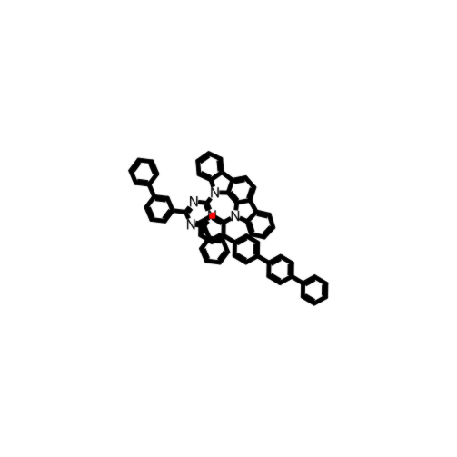 c1ccc(-c2ccc(-c3ccc(-c4ccccc4-n4c5ccccc5c5ccc6c7ccccc7n(-c7nc(-c8ccccc8)nc(-c8cccc(-c9ccccc9)c8)n7)c6c54)cc3)cc2)cc1